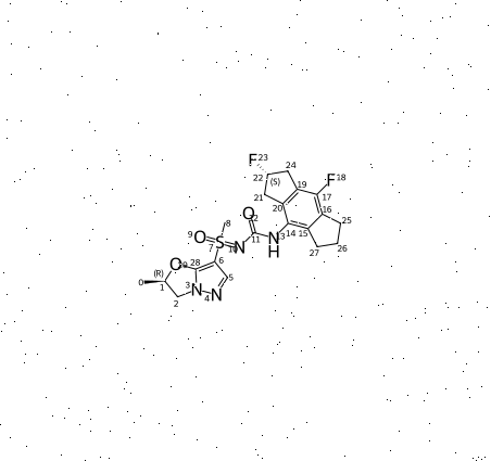 C[C@@H]1Cn2ncc(S(C)(=O)=NC(=O)Nc3c4c(c(F)c5c3C[C@H](F)C5)CCC4)c2O1